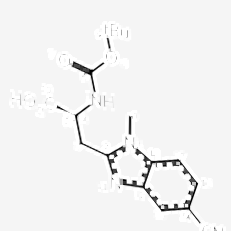 Cn1c(C[C@H](NC(=O)OC(C)(C)C)C(=O)O)nc2cc(C#N)ccc21